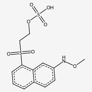 CONc1ccc2cccc(S(=O)(=O)CCOS(=O)(=O)O)c2c1